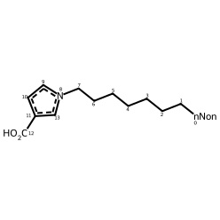 CCCCCCCCCCCCCCCCn1ccc(C(=O)O)c1